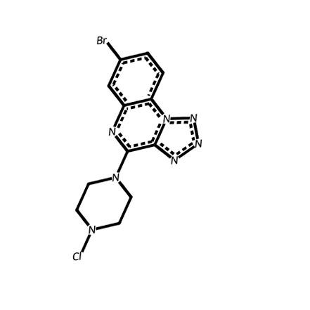 ClN1CCN(c2nc3cc(Br)ccc3n3nnnc23)CC1